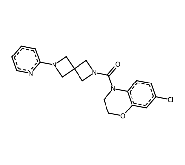 O=C(N1CC2(C1)CN(c1ccccn1)C2)N1CCOc2cc(Cl)ccc21